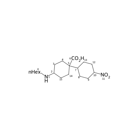 CCCCCCNC1CCC(C(=O)O)(C2CCC([N+](=O)[O-])CC2)CC1